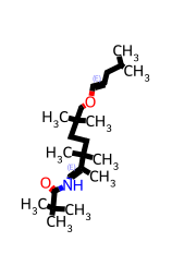 C/C(=C\NC(=O)C(C)(C)C)C(C)(C)CCC(C)(C)CO/C=C/CC(C)C